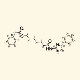 O=C(CCCCCCSC(=O)Cc1ccccc1)Nc1nc(-c2ccccc2)cs1